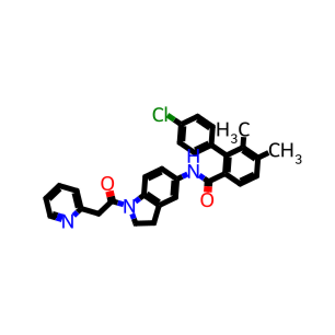 Cc1ccc(C(=O)Nc2ccc3c(c2)CCN3C(=O)Cc2ccccn2)c(-c2ccc(Cl)cc2)c1C